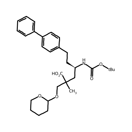 CC(C)(C)OC(=O)N[C@H](CCc1ccc(-c2ccccc2)cc1)CC(C)(COC1CCCCO1)C(=O)O